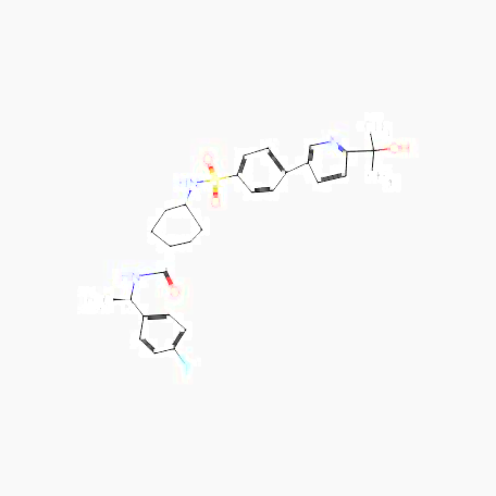 C[C@@H](NC(=O)[C@H]1CC[C@H](NS(=O)(=O)c2ccc(-c3ccc(C(C)(C)O)nc3)cc2)CC1)c1ccc(F)cc1